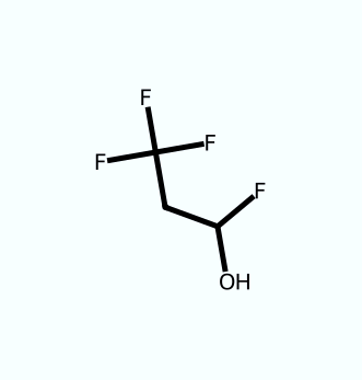 OC(F)CC(F)(F)F